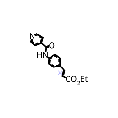 CCOC(=O)/C=C/c1ccc(NC(=O)c2ccncc2)cc1